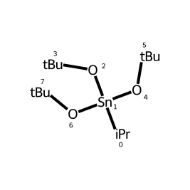 C[CH](C)[Sn]([O]C(C)(C)C)([O]C(C)(C)C)[O]C(C)(C)C